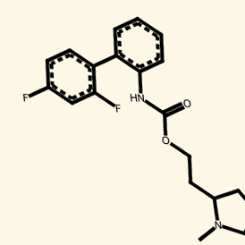 CN1CCCC1CCOC(=O)Nc1ccccc1-c1ccc(F)cc1F